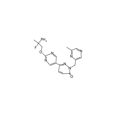 Cc1cncc(Cn2nc(-c3cnc(OCC(C)(F)P)nc3)ccc2=O)n1